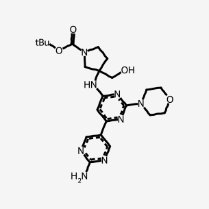 CC(C)(C)OC(=O)N1CCC(CO)(Nc2cc(-c3cnc(N)nc3)nc(N3CCOCC3)n2)C1